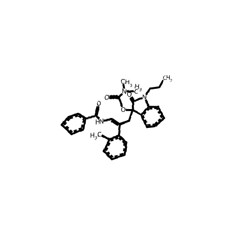 CCCN1C(=O)C(C/C(=C/NC(=O)c2ccccc2)c2ccccc2C)(OC(=O)N(C)C)c2ccccc21